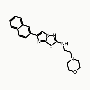 c1ccc2cc(-c3cn4nc(NCCN5CCOCC5)sc4n3)ccc2c1